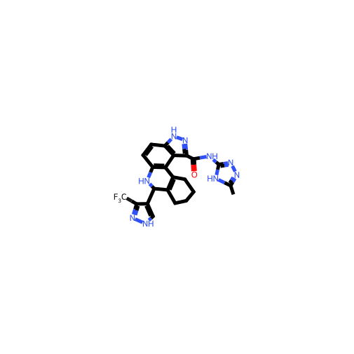 Cc1nnc(NC(=O)c2n[nH]c3ccc4c(c23)C2=C(CCCC2)C(c2c[nH]nc2C(F)(F)F)N4)[nH]1